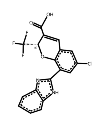 O=C(O)C1=Cc2cc(Cl)cc(-c3nc4ccccc4[nH]3)c2O[C@@H]1C(F)(F)F